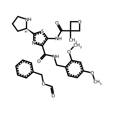 COc1ccc(CNC(=O)c2nc([C@H]3CCCN3)sc2NC(=O)C2(C)COC2)c(OC)c1.O=COCc1ccccc1